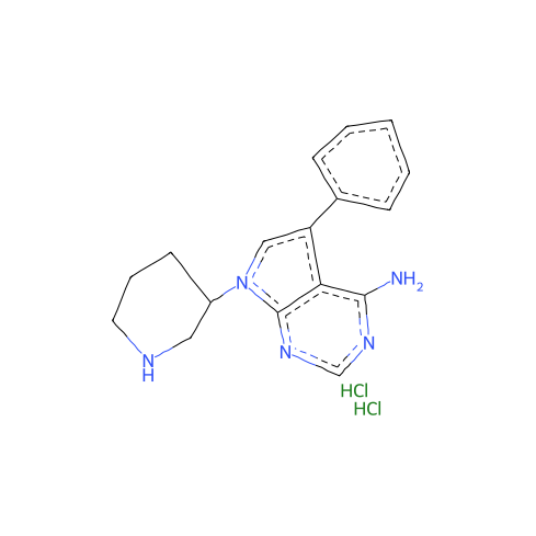 Cl.Cl.Nc1ncnc2c1c(-c1ccccc1)cn2C1CCCNC1